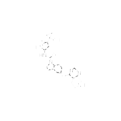 CC1(c2cc(NC(=O)n3ccc4cc(Oc5ncnc6c5CCNC6)ccc43)[nH]n2)CC1